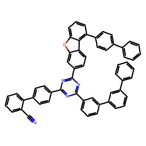 N#Cc1ccccc1-c1ccc(-c2nc(-c3cccc(-c4cccc(-c5ccccc5)c4)c3)nc(-c3ccc4c(c3)oc3cccc(-c5ccc(-c6ccccc6)cc5)c34)n2)cc1